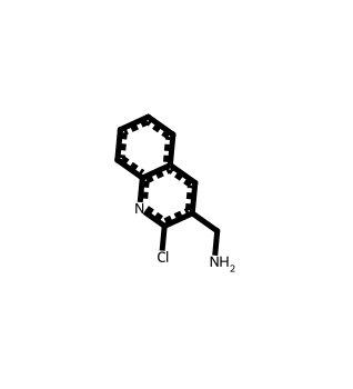 NCc1cc2ccccc2nc1Cl